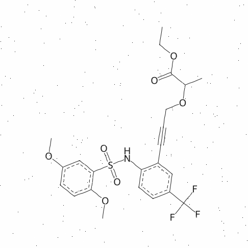 CCOC(=O)C(C)OCC#Cc1cc(C(F)(F)F)ccc1NS(=O)(=O)c1cc(OC)ccc1OC